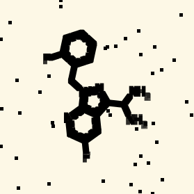 NC(N)c1nn(Cc2ccccc2F)c2ncc(F)cc12